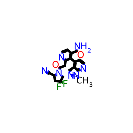 Cn1ncc2c(-c3c(C(N)=O)ccnc3CC(=O)N3CC(F)(F)CC3C#N)ccnc21